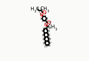 CCC(C)C(=O)OC1CCC(C(=O)OC(C)c2ccc3cc4cc5ccccc5cc4cc3c2)CC1